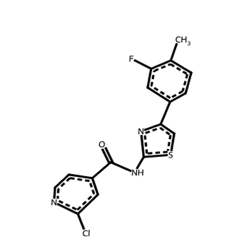 Cc1ccc(-c2csc(NC(=O)c3ccnc(Cl)c3)n2)cc1F